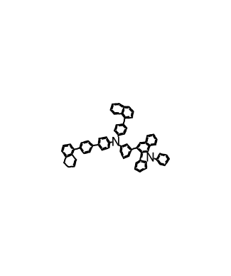 C1=Cc2c(cccc2-c2ccc(-c3ccc(N(c4ccc(-c5cccc6ccccc56)cc4)c4cccc(-c5cc6ccccc6c6c5c5ccccc5n6-c5ccccc5)c4)cc3)cc2)CC1